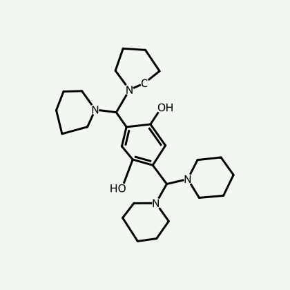 Oc1cc(C(N2CCCCC2)N2CCCCC2)c(O)cc1C(N1CCCCC1)N1CCCCC1